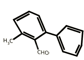 Cc1cccc(-c2ccccc2)c1[C]=O